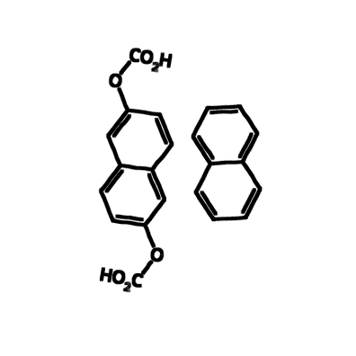 O=C(O)Oc1ccc2cc(OC(=O)O)ccc2c1.c1ccc2ccccc2c1